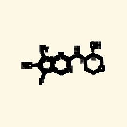 CC(C)c1c(C#N)c(F)c2cnc(N[C@@H]3CCOC[C@H]3O)nn12